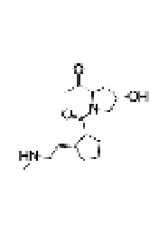 CNC/C=C1\CCCC1C(=O)N1C[C@H](O)C[C@H]1C(C)=O